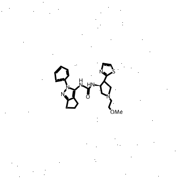 COCCN1CC(c2nccs2)[C@H](NC(=O)Nc2c3c(nn2-c2ccccc2)CCC3)C1